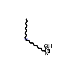 CCCCCCCC/C=C\CCCCCCCCC1=NCCN1O